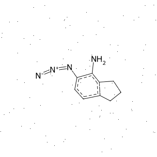 [N-]=[N+]=Nc1ccc2c(c1N)CCC2